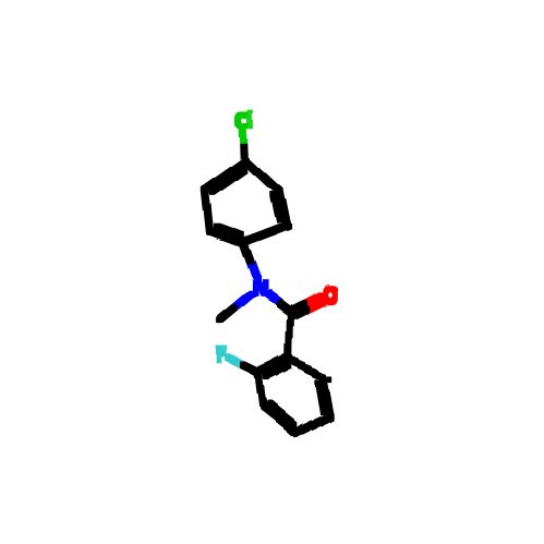 CN(C(=O)c1[c]cccc1F)c1ccc(Cl)cc1